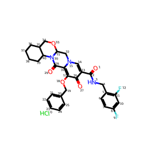 Cl.O=C(NCc1ccc(F)cc1F)c1cn2c(c(OCc3ccccc3)c1=O)C(=O)N1C(C2)OCC2CCCCC21